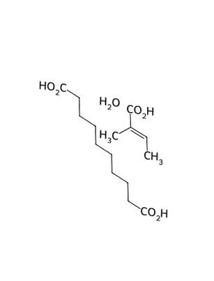 CC=C(C)C(=O)O.O.O=C(O)CCCCCCCCC(=O)O